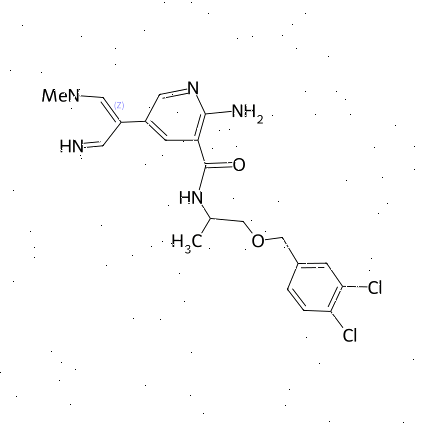 CN/C=C(\C=N)c1cnc(N)c(C(=O)NC(C)COCc2ccc(Cl)c(Cl)c2)c1